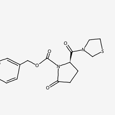 O=C([C@H]1CCC(=O)N1C(=O)OCc1ccccc1)N1CCSC1